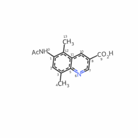 CC(=O)Nc1cc(C)c2ncc(C(=O)O)cc2c1C